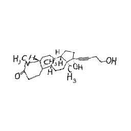 CN1C(=O)CC[C@]2(C)[C@H]3CC[C@@]4(C)[C@@H](CC[C@@]4(O)C#CCCO)[C@@H]3CC[C@@H]12